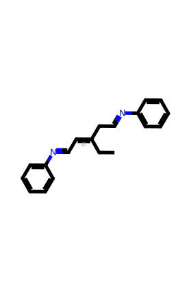 CC/C(=C\C=Nc1ccccc1)CC=Nc1ccccc1